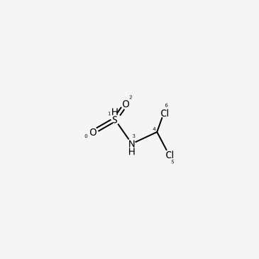 O=[SH](=O)NC(Cl)Cl